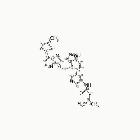 Cc1ccc(-c2ccnc3[nH]c(-c4n[nH]c5ccc(-c6cncc(NC(=O)CC(C)C)c6)c(F)c45)nc23)s1